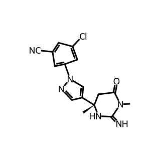 CN1C(=N)N[C@](C)(c2cnn(-c3cc(Cl)cc(C#N)c3)c2)CC1=O